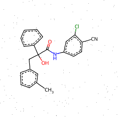 Cc1cccc(CC(O)(C(=O)Nc2ccc(C#N)c(Cl)c2)c2ccccc2)c1